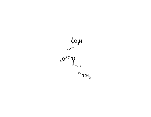 CC=CCOC(=O)CCC(=O)O